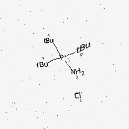 CC(C)(C)[P+](N)(C(C)(C)C)C(C)(C)C.[Cl-]